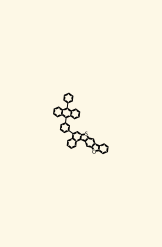 c1ccc(-c2c3ccccc3c(-c3cccc(-c4cc5sc6cc7c(cc6c5c5ccccc45)oc4ccccc47)c3)c3ccccc23)cc1